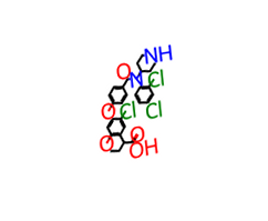 O=C(O)C1CCOc2cc(Oc3ccc(C(=O)N(c4ccc(Cl)cc4Cl)C4CCNCC4)cc3)c(Cl)cc21